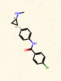 CN[C@@H]1C[C@H]1c1ccc(NC(=O)c2ccc(Br)cc2)cc1